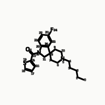 CCCCCN1CCC2(CC1)CN(C(=O)c1cccs1)c1ccc(F)cc12